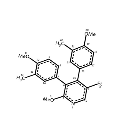 CCc1[c]nc(OC)c(-c2ccc(OC)c(C)c2)c1-c1ccc(OC)c(C)c1